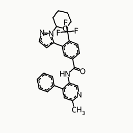 Cc1cc(-c2ccccc2)c(NC(=O)c2ccc(C(F)(F)F)c(-c3ccnn3C3CCCCO3)c2)cn1